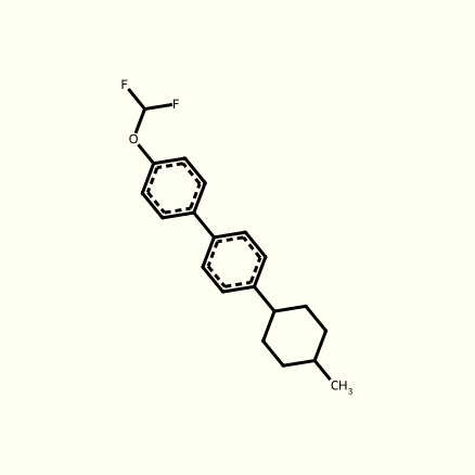 CC1CCC(c2ccc(-c3ccc(OC(F)F)cc3)cc2)CC1